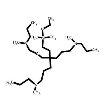 CCCN(C)CCCC(CCCN(C)CCC)(CCCN(C)CCC)CC[Si](C)(C)OCC